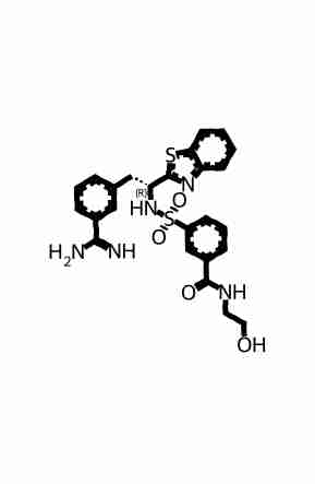 N=C(N)c1cccc(C[C@@H](NS(=O)(=O)c2cccc(C(=O)NCCO)c2)c2nc3ccccc3s2)c1